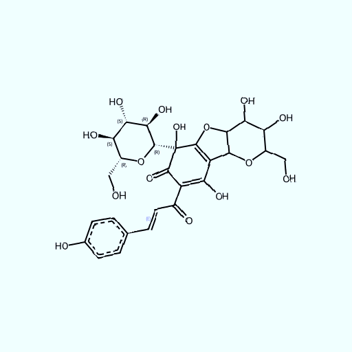 O=C(/C=C/c1ccc(O)cc1)C1=C(O)C2=C(OC3C2OC(CO)C(O)C3O)C(O)([C@@H]2O[C@H](CO)[C@@H](O)[C@H](O)[C@H]2O)C1=O